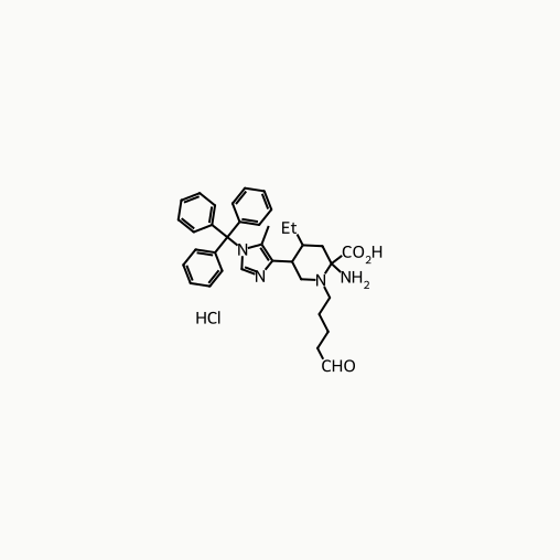 CCC1CC(N)(C(=O)O)N(CCCCC=O)CC1c1ncn(C(c2ccccc2)(c2ccccc2)c2ccccc2)c1C.Cl